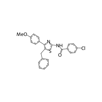 COc1ccc(-c2nc(NC(=O)c3ccc(Cl)cc3)sc2Cc2ccccc2)cc1